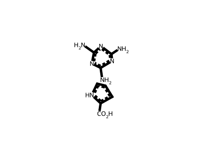 Nc1nc(N)nc(N)n1.O=C(O)c1ccc[nH]1